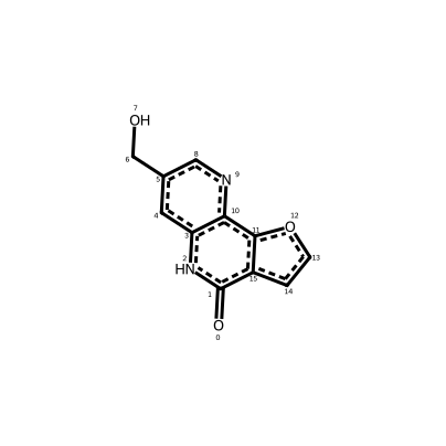 O=c1[nH]c2cc(CO)cnc2c2occc12